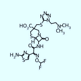 CN(C)CCn1nnnc1SCC1(C(=O)O)CS[C@@H]2C(NC(=O)C(=NOC(F)F)c3csc(N)n3)C(=O)N2C1